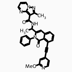 COc1cc(C#Cc2cccc3cc(C(C)NC(=O)c4c(C)nn5cccnc45)n(-c4ccccc4)c(=O)c23)ccn1